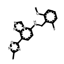 COc1cccc(F)c1CNc1ccc(-c2nc(C)no2)c2nncn12